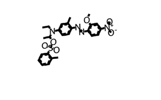 CCN(c1ccc(/N=N/c2ccc([N+](=O)[O-])cc2OC)c(C)c1)C(C)OS(=O)(=O)c1ccccc1C